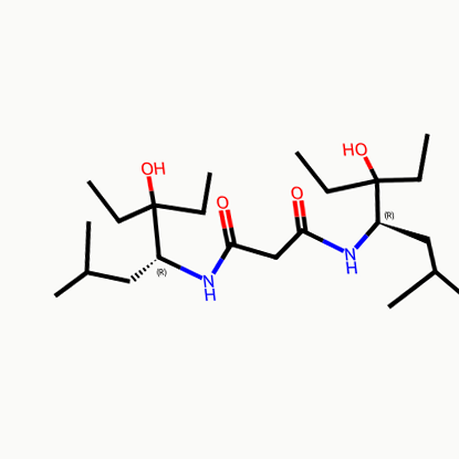 CCC(O)(CC)[C@@H](CC(C)C)NC(=O)CC(=O)N[C@H](CC(C)C)C(O)(CC)CC